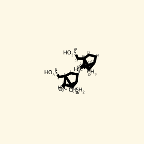 CC1(C)C2CCC1(CS(=O)(=O)O)C(=O)C2.CC1(C)C2CCC1(CS(=O)(=O)O)C(=O)C2.S